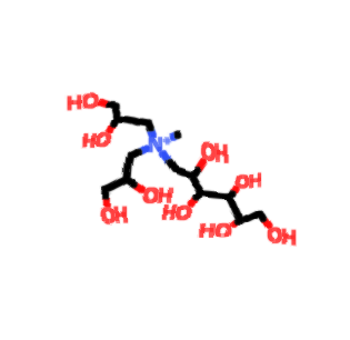 C[N+](CC(O)CO)(CC(O)CO)CC(O)C(O)C(O)C(O)CO